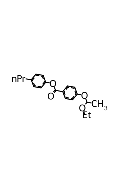 CCCc1ccc(OC(=O)c2ccc(OC(C)OCC)cc2)cc1